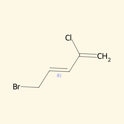 C=C(Cl)/C=C/CBr